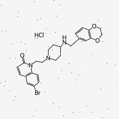 Cl.O=c1ccc2cc(Br)ccc2n1CCN1CCC(NCc2ccc3c(c2)OCCO3)CC1